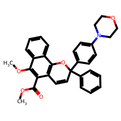 COC(=O)c1c2c(c3ccccc3c1OC)OC(c1ccccc1)(c1ccc(N3CCOCC3)cc1)C=C2